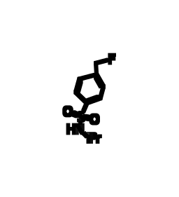 CC(C)NS(=O)(=O)c1ccc(CF)cc1